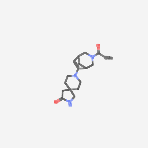 COC(=O)N1CC2C=C(N3CCC4(CC3)CNC(=O)C4)C(C2)C1